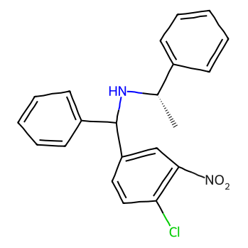 C[C@H](NC(c1ccccc1)c1ccc(Cl)c([N+](=O)[O-])c1)c1ccccc1